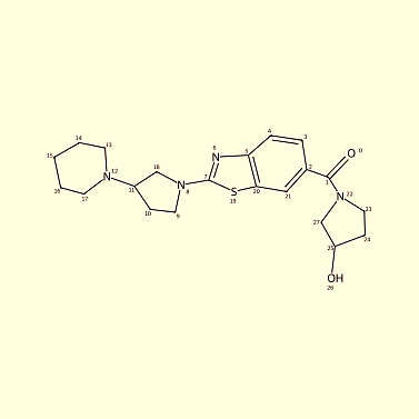 O=C(c1ccc2nc(N3CCC(N4CCCCC4)C3)sc2c1)N1CCC(O)C1